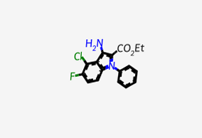 CCOC(=O)c1c(N)c2c(Cl)c(F)ccc2n1-c1ccccc1